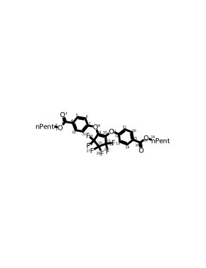 CCCCCOC(=O)c1ccc(OC2=C(Oc3ccc(C(=O)OCCCCC)cc3)C(F)(F)C(F)(F)C2(F)F)cc1